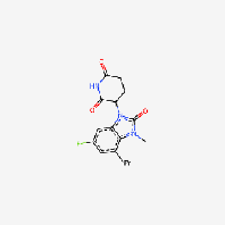 CC(C)c1cc(F)cc2c1n(C)c(=O)n2C1CCC(=O)NC1=O